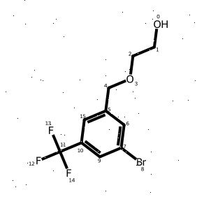 OCCOCc1cc(Br)cc(C(F)(F)F)c1